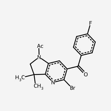 CC(=O)N1CC(C)(C)c2nc(Br)c(C(=O)c3ccc(F)cc3)cc21